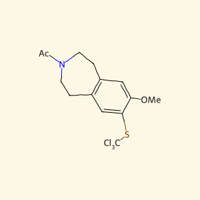 COc1cc2c(cc1SC(Cl)(Cl)Cl)CCN(C(C)=O)CC2